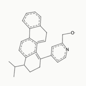 CC(C)C1CCC(c2ccnc(C[O])c2)=c2c1ccc1c2=CCc2ccccc2-1